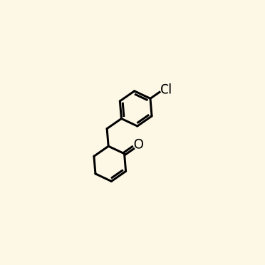 O=C1C=CCCC1Cc1ccc(Cl)cc1